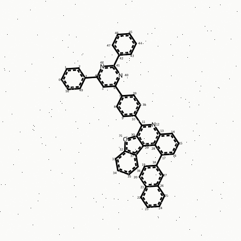 c1ccc(-c2cc(-c3ccc(-c4nc5cccc(-c6ccc7ccccc7c6)c5c5c4oc4ccccc45)cc3)nc(-c3ccccc3)n2)cc1